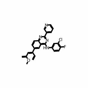 C=C/C(=C\C(=C)OC)c1ccc2nc(-c3cccnc3)nc(Nc3ccc(F)c(Cl)c3)c2c1